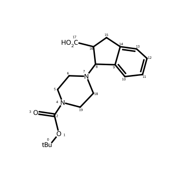 CC(C)(C)OC(=O)N1CCN(C2c3ccccc3CC2C(=O)O)CC1